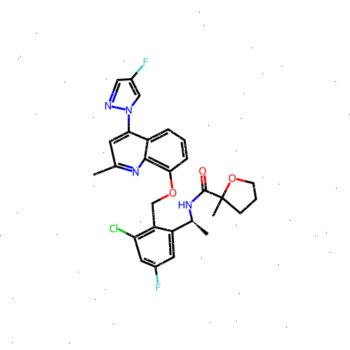 Cc1cc(-n2cc(F)cn2)c2cccc(OCc3c(Cl)cc(F)cc3[C@H](C)NC(=O)C3(C)CCCO3)c2n1